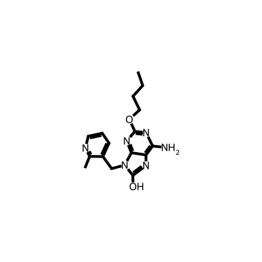 CCCCOc1nc(N)c2nc(O)n(Cc3cccnc3C)c2n1